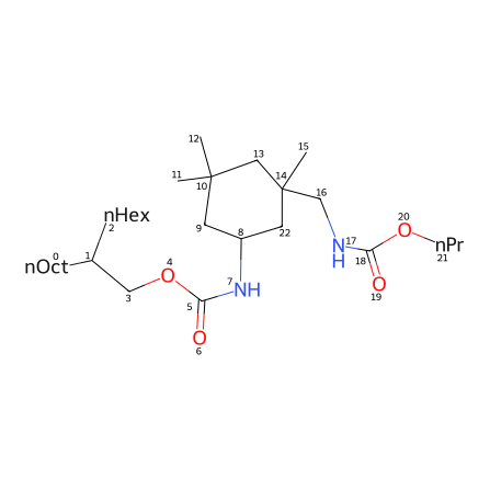 CCCCCCCCC(CCCCCC)COC(=O)NC1CC(C)(C)CC(C)(CNC(=O)OCCC)C1